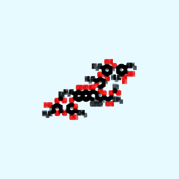 CCC(=O)O[C@H](C)[C@H](O)C(=O)[C@@H](OC)[C@@H]1Cc2cc3cc(O[C@H]4C[C@@H](O[C@H]5C[C@@H](OC(=O)CC)[C@H](O)C(C)O5)[C@H](O)C(C)O4)c(C)c(O)c3c(O)c2C(=O)[C@H]1O[C@H]1C[C@@H](O[C@@H]2CC(C)[C@H](O)[C@H](O[C@@H]3CC(C)[C@@H](O)[C@@](C)(O)C3)C2)[C@H](O)C(C)O1